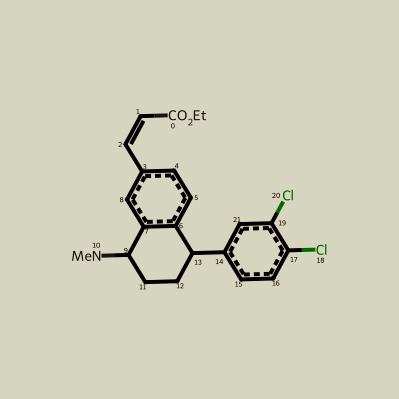 CCOC(=O)/C=C\c1ccc2c(c1)C(NC)CCC2c1ccc(Cl)c(Cl)c1